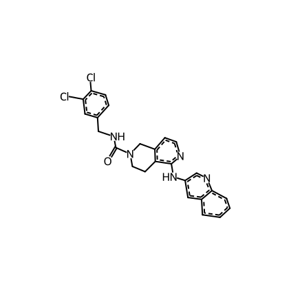 O=C(NCc1ccc(Cl)c(Cl)c1)N1CCc2c(ccnc2Nc2cnc3ccccc3c2)C1